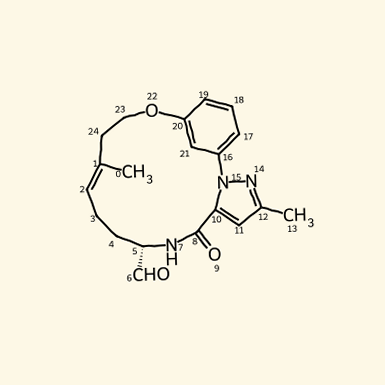 C/C1=C\CC[C@@H](C=O)NC(=O)c2cc(C)nn2-c2cccc(c2)OCC1